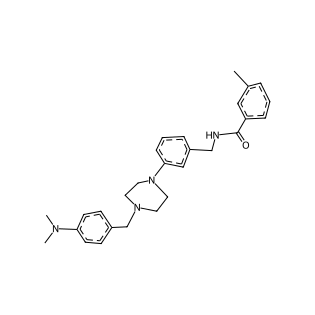 Cc1cccc(C(=O)NCc2cccc(N3CCN(Cc4ccc(N(C)C)cc4)CC3)c2)c1